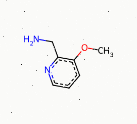 COc1cccnc1CN